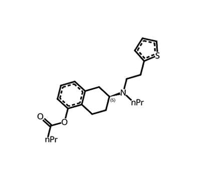 CCCC(=O)Oc1cccc2c1CC[C@H](N(CCC)CCc1cccs1)C2